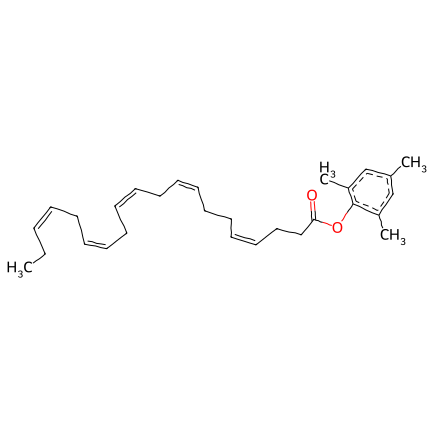 CC/C=C\C/C=C\C/C=C\C/C=C\CC/C=C\CCC(=O)Oc1c(C)cc(C)cc1C